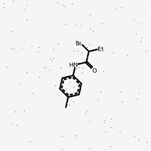 CCC(Br)C(=O)Nc1ccc(C)cc1